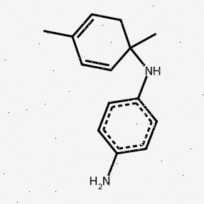 CC1=CCC(C)(Nc2ccc(N)cc2)C=C1